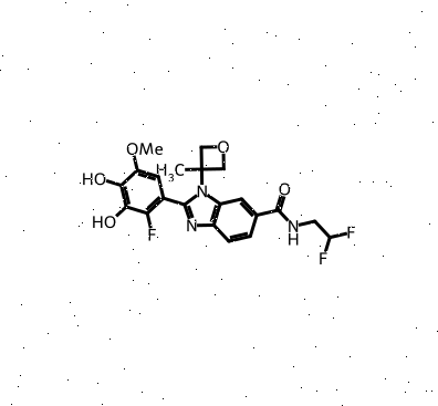 COc1cc(-c2nc3ccc(C(=O)NCC(F)F)cc3n2C2(C)COC2)c(F)c(O)c1O